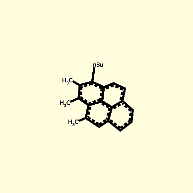 CCCCc1c(C)c(C)c2c(C)cc3cccc4ccc1c2c43